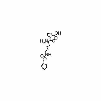 N[C@@H](CCCCNC(=O)OCc1ccccc1)C(=O)N1CCC[C@H]1C(=O)O